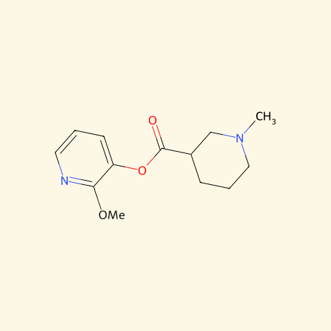 COc1ncccc1OC(=O)C1CCCN(C)C1